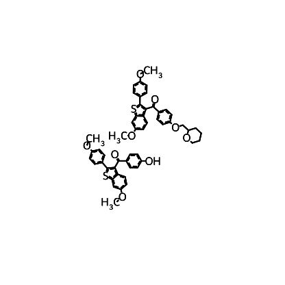 COc1ccc(-c2sc3cc(OC)ccc3c2C(=O)c2ccc(O)cc2)cc1.COc1ccc(-c2sc3cc(OC)ccc3c2C(=O)c2ccc(OCC3CCCCO3)cc2)cc1